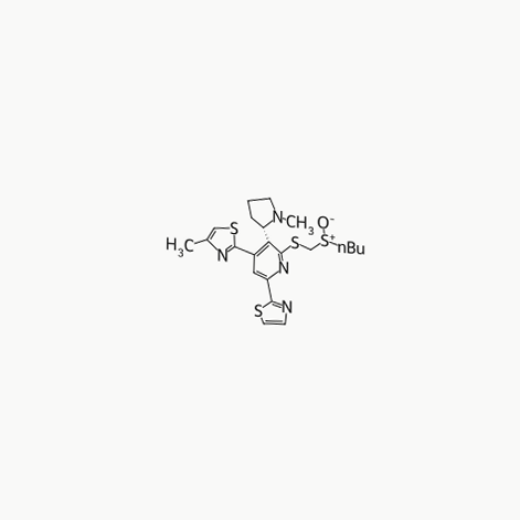 CCCC[S+]([O-])CSc1nc(-c2nccs2)cc(-c2nc(C)cs2)c1[C@@H]1CCCN1C